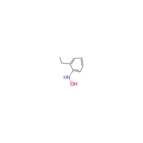 CCc1ccccc1NO